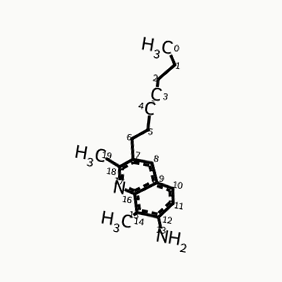 CCCCCCCc1cc2ccc(N)c(C)c2nc1C